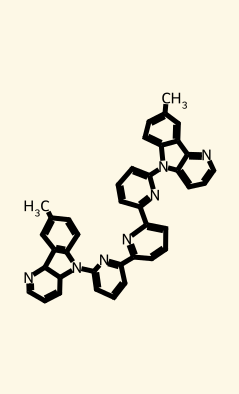 Cc1ccc2c(c1)C1N=CC=CC1N2c1cccc(-c2cccc(-c3cccc(-n4c5ccc(C)cc5c5ncccc54)n3)n2)n1